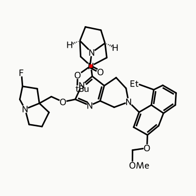 CCc1cccc2cc(OCOC)cc(N3CCc4c(nc(OCC56CCCN5CC(F)C6)nc4N4C[C@H]5CC[C@@H](C4)N5C(=O)OC(C)(C)C)C3)c12